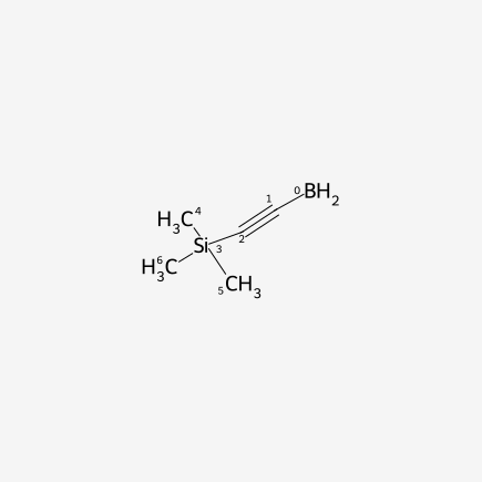 BC#C[Si](C)(C)C